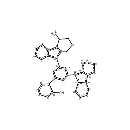 CC1CCCc2c1c1ccccc1n2-c1cc(-c2ccccc2C#N)cc(-n2c3ccccc3c3cccnc32)n1